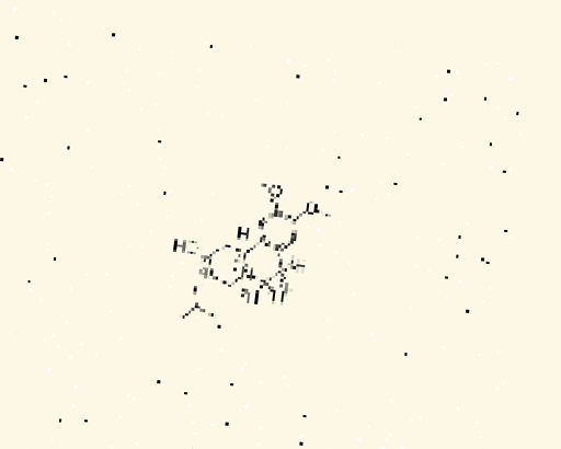 [2H]C1([2H])c2cc(OC)c(OC)cc2[C@@H]2C[C@@H](O)[C@@H](CC(C)C)CN2C1([2H])[2H]